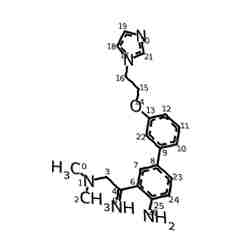 CN(C)CC(=N)c1cc(-c2cccc(OCCn3ccnc3)c2)ccc1N